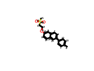 Cc1ccc(-c2ccc3cc(OCCS(C)(=O)=O)ccc3c2)cc1